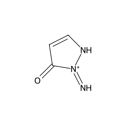 N=[N+]1NC=CC1=O